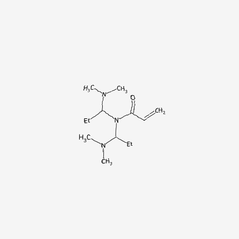 C=CC(=O)N(C(CC)N(C)C)C(CC)N(C)C